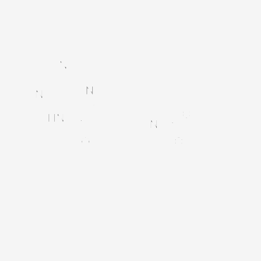 O=C(OCc1ccccc1)N1CCC(c2nc3nccnc3[nH]c2=O)CC1